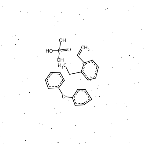 C=Cc1ccccc1CC.O=P(O)(O)O.c1ccc(Oc2ccccc2)cc1